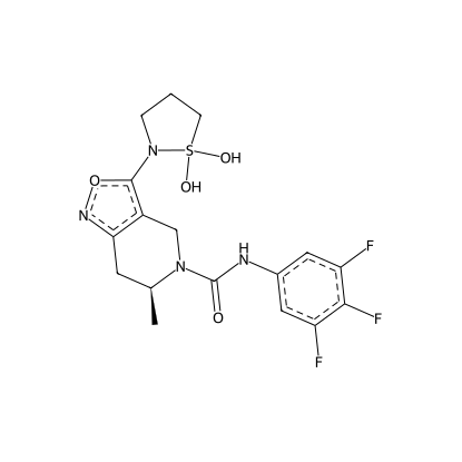 C[C@H]1Cc2noc(N3CCCS3(O)O)c2CN1C(=O)Nc1cc(F)c(F)c(F)c1